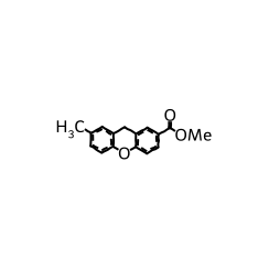 COC(=O)c1ccc2c(c1)Cc1cc(C)ccc1O2